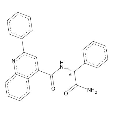 NC(=O)[C@H](NC(=O)c1cc(-c2ccccc2)nc2ccccc12)c1ccccc1